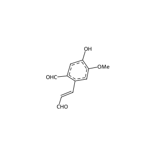 COc1cc(/C=C/C=O)c(C=O)cc1O